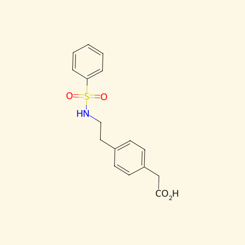 O=C(O)Cc1ccc(CCNS(=O)(=O)c2ccccc2)cc1